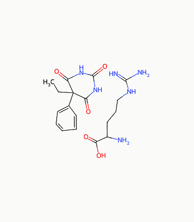 CCC1(c2ccccc2)C(=O)NC(=O)NC1=O.N=C(N)NCCCC(N)C(=O)O